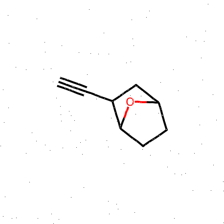 C#CC1CC2CCC1O2